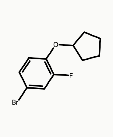 Fc1cc(Br)ccc1OC1CCCC1